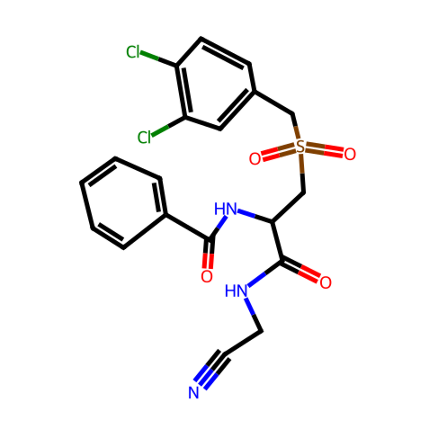 N#CCNC(=O)C(CS(=O)(=O)Cc1ccc(Cl)c(Cl)c1)NC(=O)c1ccccc1